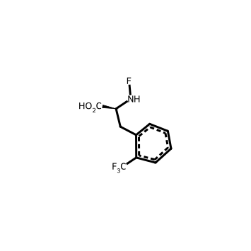 O=C(O)[C@H](Cc1ccccc1C(F)(F)F)NF